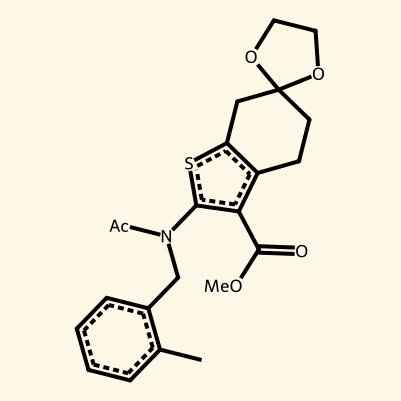 COC(=O)c1c(N(Cc2ccccc2C)C(C)=O)sc2c1CCC1(C2)OCCO1